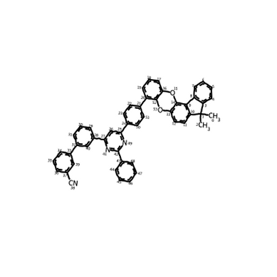 CC1(C)c2ccccc2-c2c1ccc1c2Oc2cccc(-c3ccc(-c4cc(-c5cccc(-c6cccc(C#N)c6)c5)nc(-c5ccccc5)n4)cc3)c2O1